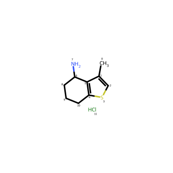 Cc1csc2c1C(N)CCC2.Cl